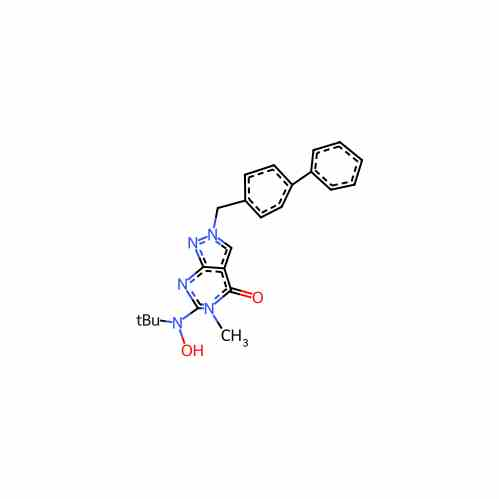 Cn1c(N(O)C(C)(C)C)nc2nn(Cc3ccc(-c4ccccc4)cc3)cc2c1=O